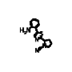 N#CN1CCCC1c1ncc(-c2ccccc2N)s1